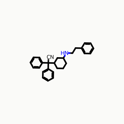 N#CC(c1ccccc1)(c1ccccc1)C1CCCC(NCCc2ccccc2)C1